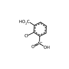 O=C(O)c1cccc([N+](=O)O)c1Cl